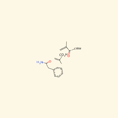 C=C(C)C(=O)O.C=C(C)C(=O)OC.NC(=O)Cc1ccccc1